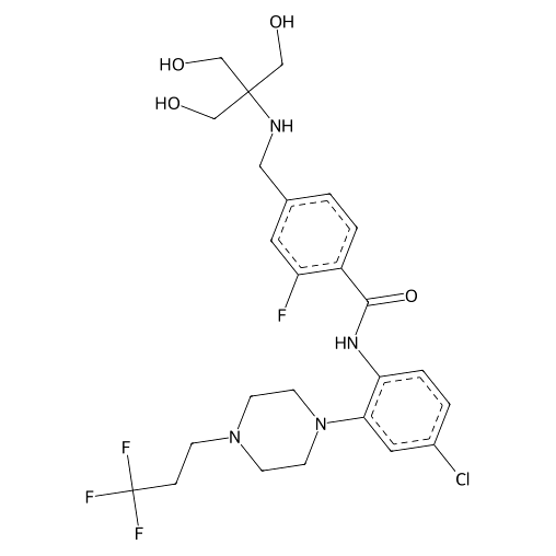 O=C(Nc1ccc(Cl)cc1N1CCN(CCC(F)(F)F)CC1)c1ccc(CNC(CO)(CO)CO)cc1F